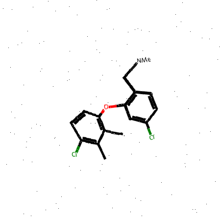 CNCc1ccc(Cl)cc1Oc1ccc(Cl)c(C)c1C